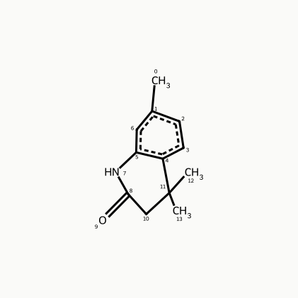 Cc1ccc2c(c1)NC(=O)CC2(C)C